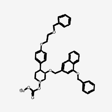 CC(C)(C)OC(=O)ON1CCC(c2ccc(OCCOCc3ccccc3)cc2)C(OCc2cc(OCc3ccccc3)c3ccccc3c2)C1